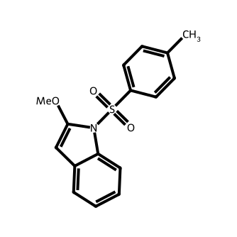 COc1cc2ccccc2n1S(=O)(=O)c1ccc(C)cc1